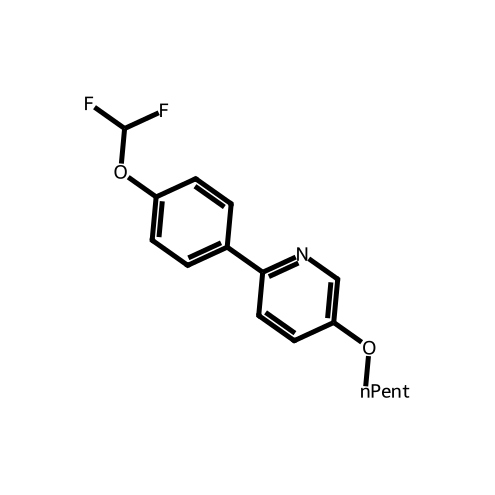 CCCCCOc1ccc(-c2ccc(OC(F)F)cc2)nc1